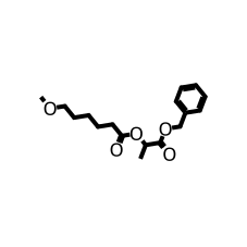 COCCCCCC(=O)OC(C)C(=O)OCc1ccccc1